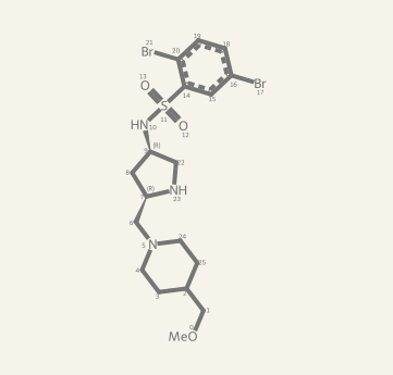 COCC1CCN(C[C@H]2C[C@@H](NS(=O)(=O)c3cc(Br)ccc3Br)CN2)CC1